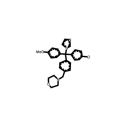 COc1ccc(C(c2ccc(Cl)cc2)(c2ccc(CN3CCOCC3)cc2)n2ccnc2)cc1